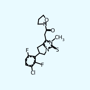 Cn1c(CC(=O)N2CCCO2)c2n(c1=S)CC(c1c(F)ccc(Cl)c1F)C2